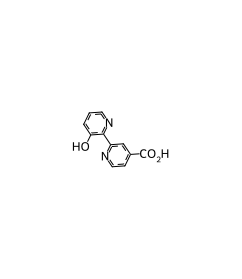 O=C(O)c1ccnc(-c2ncccc2O)c1